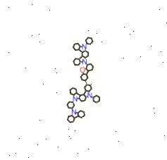 c1ccc(-n2c3ccc(-c4ccc5oc6c(-n7c8ccccc8c8c9c%10ccccc%10n(-c%10ccccc%10)c9ccc87)cccc6c5c4)cc3c3c4c5ccccc5n(-c5cccc(-n6c7ccccc7c7ccccc76)c5)c4ccc32)cc1